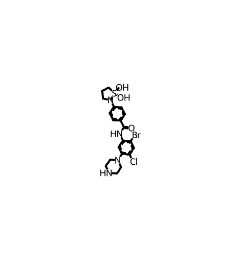 O=C(Nc1cc(N2CCNCC2)c(Cl)cc1Br)c1ccc(N2CCCS2(O)O)cc1